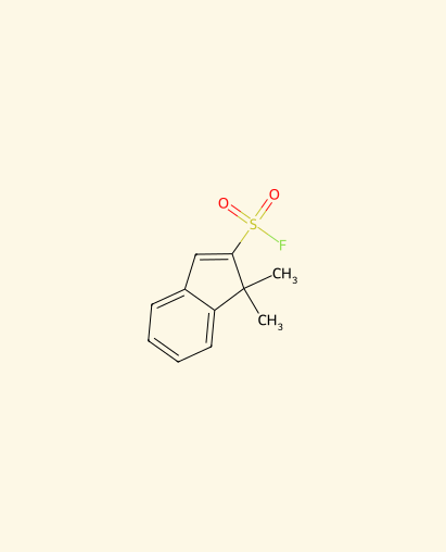 CC1(C)C(S(=O)(=O)F)=Cc2ccccc21